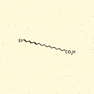 CCC=CC=CC=CCCCCCCCCCCCC(=O)O